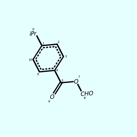 CC(C)c1ccc(C(=O)OC=O)cc1